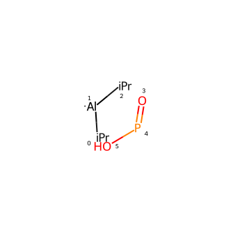 C[CH](C)[Al][CH](C)C.O=PO